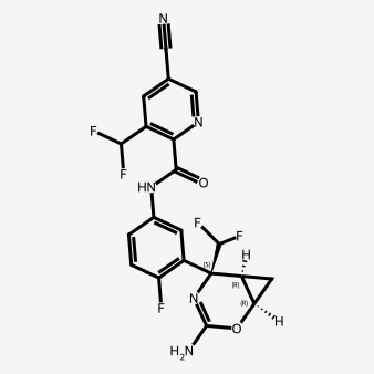 N#Cc1cnc(C(=O)Nc2ccc(F)c([C@@]3(C(F)F)N=C(N)O[C@@H]4C[C@@H]43)c2)c(C(F)F)c1